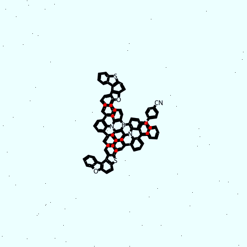 N#Cc1ccc(N(c2ccccc2)c2ccc3c(c2)N(c2c(-c4ccccc4)cccc2-c2ccccc2)c2cc(-c4ccc5c(c4)sc4ccc6oc7ccccc7c6c45)cc4c2B3c2ccc(-c3cccc5c3oc3ccc6sc7ccccc7c6c35)cc2N4c2c(-c3ccccc3)cccc2-c2ccccc2)cc1